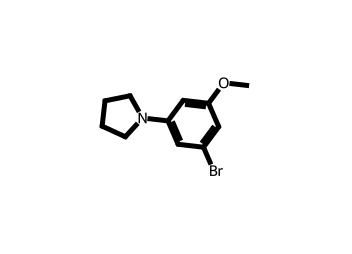 COc1cc(Br)cc(N2CCCC2)c1